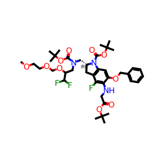 COCCOCOC(CN(C[C@H]1Cc2c(cc(OCc3ccccc3)c(NCC(=O)OC(C)(C)C)c2F)N1C(=O)OC(C)(C)C)C(=O)OC(C)(C)C)C(F)F